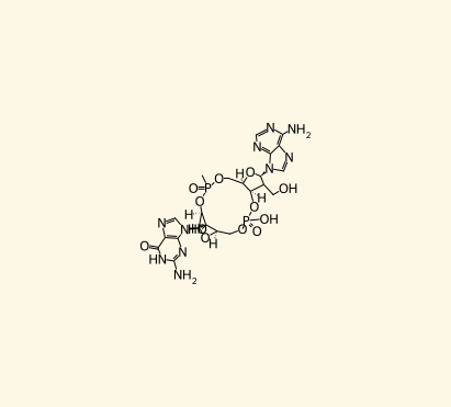 CP1(=O)OC[C@H]2O[C@@H](n3cnc4c(N)ncnc43)C(CO)[C@H]2OP(=O)(O)OC[C@H]2O[C@@H](n3cnc4c(=O)[nH]c(N)nc43)[C@@H](O1)[C@H]2O